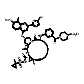 CCOC(=O)N1CCN(C(=O)c2cccc(N[C@H]3CCCCC/C=C\[C@@H]4C[C@@]4(C(=O)NS(=O)(=O)C4(C)CC4)NC(=O)[C@@H]4C[C@@H](Oc5cc(-c6nc(C(C)C)cs6)nc6c(C)c(OC)ccc56)CN4C3=O)c2)CC1